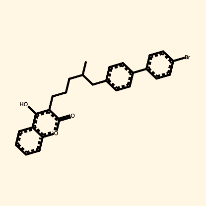 CC(CCCc1c(O)c2ccccc2oc1=O)Cc1ccc(-c2ccc(Br)cc2)cc1